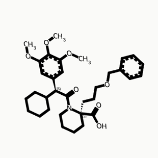 COc1cc([C@@H](C(=O)N2CCCC[C@]2(CCCOCc2ccccc2)C(=O)O)C2CCCCC2)cc(OC)c1OC